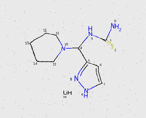 NC(=S)N[C](c1cc[nH]n1)N1CCCCC1.[LiH]